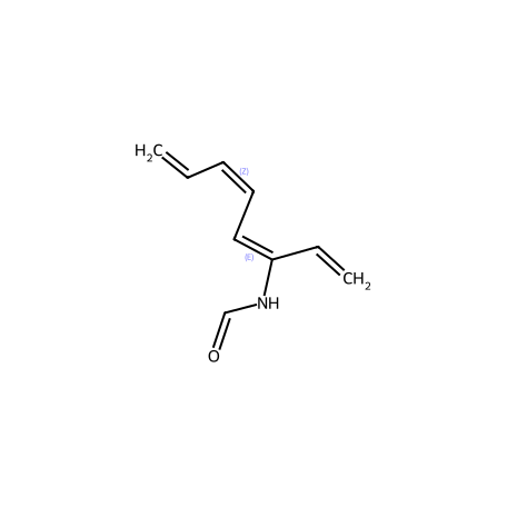 C=C/C=C\C=C(/C=C)NC=O